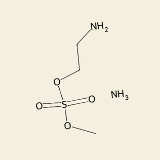 COS(=O)(=O)OCCN.N